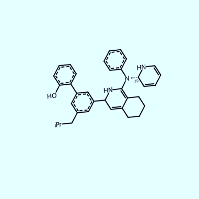 CC(C)Cc1cc(-c2ccccc2O)cc(C2C=C3CCCCC3=C(N(c3ccccc3)[C@H]3C=CC=CN3)N2)c1